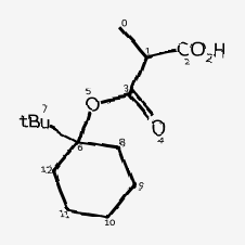 CC(C(=O)O)C(=O)OC1(C(C)(C)C)CCCCC1